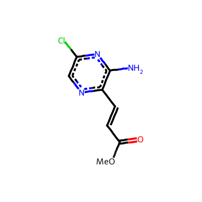 COC(=O)C=Cc1ncc(Cl)nc1N